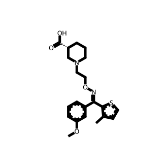 COc1cccc(/C(=N\OCCN2CCC[C@@H](C(=O)O)C2)c2sccc2C)c1